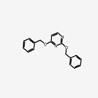 [c]1cnc(OCc2ccccc2)nc1OCc1ccccc1